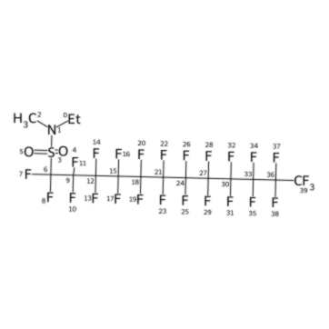 [CH2]CN(C)S(=O)(=O)C(F)(F)C(F)(F)C(F)(F)C(F)(F)C(F)(F)C(F)(F)C(F)(F)C(F)(F)C(F)(F)C(F)(F)C(F)(F)C(F)(F)F